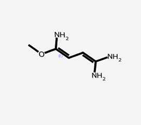 CO/C(N)=C/C=C(N)N